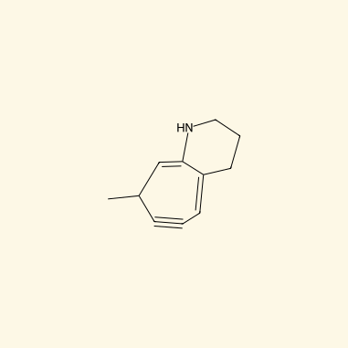 CC1C#CC=C2CCCNC2=C1